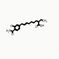 CCC(CCCCC=CCc1ccc(C(N)=O)c(Cl)c1)C(=O)O